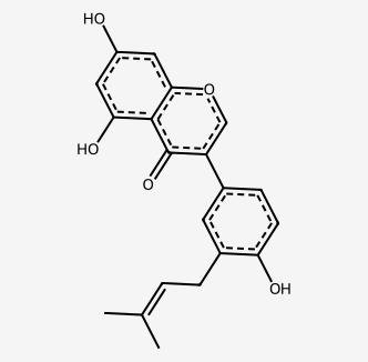 CC(C)=CCc1cc(-c2coc3cc(O)cc(O)c3c2=O)ccc1O